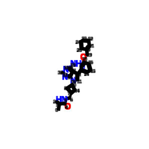 CC(C)C(=O)NC[C@H]1C[C@@H](n2cc(-c3cccc(OCc4ccccc4)c3)c3c(N)ncnc32)C1